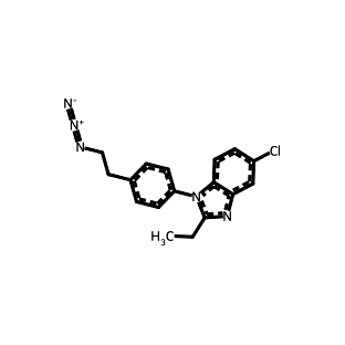 CCc1nc2cc(Cl)ccc2n1-c1ccc(CCN=[N+]=[N-])cc1